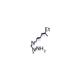 CC/C(C)=C/C=C/C/N=C\N(C)N